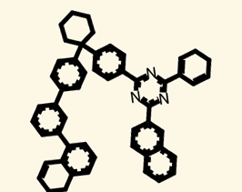 C1=CC(c2nc(-c3ccc(C4(c5ccc(-c6cccc(-c7cccc8c7C=CCC8)c6)cc5)CCCCC4)cc3)nc(-c3ccc4ccccc4c3)n2)=CCC1